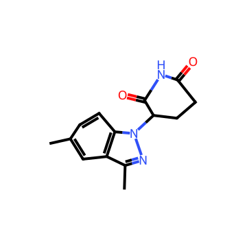 Cc1ccc2c(c1)c(C)nn2C1CCC(=O)NC1=O